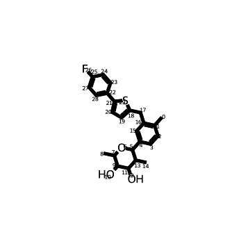 Cc1ccc(C2OC(C)C(O)C(O)C2C)cc1Cc1ccc(-c2ccc(F)cc2)s1